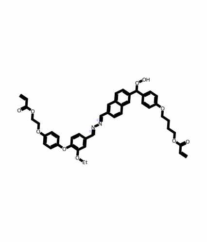 C=CC(=O)OCCCCOc1ccc(C(OO)c2ccc3cc(/C=N/N=C/c4ccc(Oc5ccc(OCCOC(=O)C=C)cc5)c(OCC)c4)ccc3c2)cc1